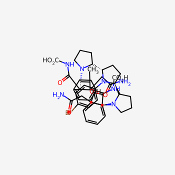 CC1(CC(N)=O)c2ccc(cc2)[C@]1(C(=O)NC(=O)O)N1CCCC1[C@@H]1CC[C@@H](C2CCCN2[C@@]2(C(=O)NC(=O)O)c3ccc(cc3)C2(C)CC(N)=O)N1c1ccc(Br)cc1